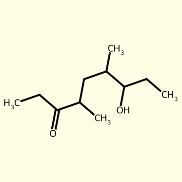 CCC(=O)C(C)CC(C)C(O)CC